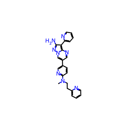 CN(CCc1ccccn1)c1ccc(-c2cnc3c(-c4ccccn4)c(N)nn3c2)cn1